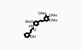 COc1cc(/C=C/c2cc(OC)c(OC)c(OC)c2)ccc1NC(=O)/C=C/c1ccccc1O